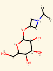 CCC(CC)N1CC(OC2OC(CO)[C@H](O)[C@H](O)C2O)C1